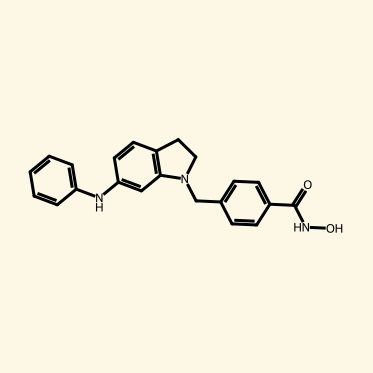 O=C(NO)c1ccc(CN2CCc3ccc(Nc4ccccc4)cc32)cc1